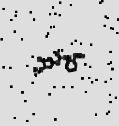 COc1ccccc1NC(=O)OC1C=C(C)C(=O)O1